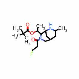 CC1CC2CC(N1)C(C(C)OC(=O)C(C)(C)C)N(C(=O)CCF)C2